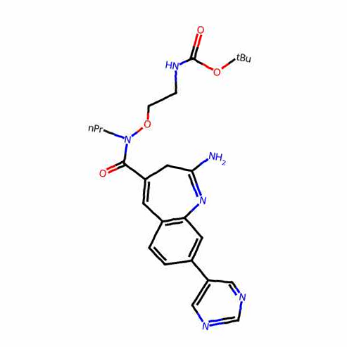 CCCN(OCCNC(=O)OC(C)(C)C)C(=O)C1=Cc2ccc(-c3cncnc3)cc2N=C(N)C1